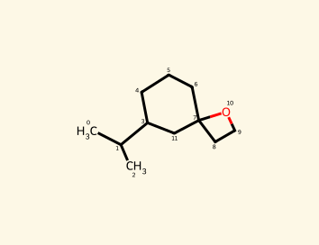 CC(C)C1CCCC2(CCO2)C1